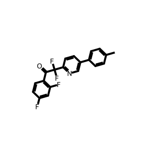 Cc1ccc(-c2ccc(C(F)(F)C(=O)c3ccc(F)cc3F)nc2)cc1